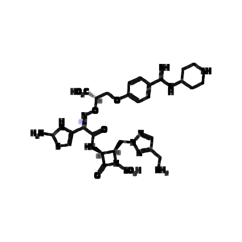 N=C(NC1CCNCC1)c1ccc(OC[C@H](O/N=C(\C(=O)N[C@@H]2C(=O)N(S(=O)(=O)O)[C@@H]2Cn2ncc(CN)n2)C2=CSC(N)N2)C(=O)O)cc1